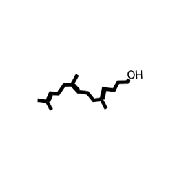 CC(C)=CCCC(C)=CCCC(C)=CCCCO